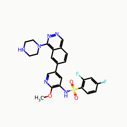 COc1ncc(-c2ccc3cnnc(N4CCNCC4)c3c2)cc1NS(=O)(=O)c1ccc(F)cc1F